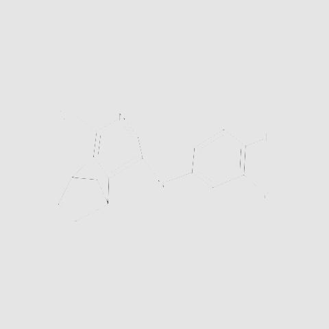 Cc1cc(Nc2cnc(C(=O)O)c3c2C2CCC3C2)ccc1F